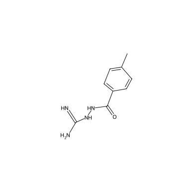 Cc1ccc(C(=O)NNC(=N)N)cc1